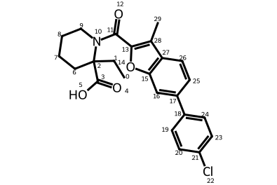 CCC1(C(=O)O)CCCCN1C(=O)c1oc2cc(-c3ccc(Cl)cc3)ccc2c1C